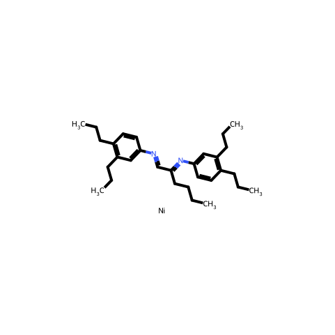 CCCCC(C=Nc1ccc(CCC)c(CCC)c1)=Nc1ccc(CCC)c(CCC)c1.[Ni]